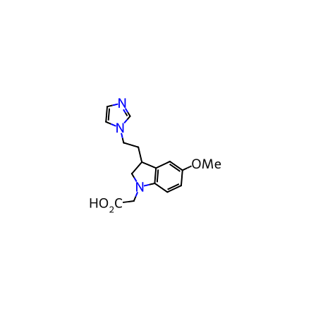 COc1ccc2c(c1)C(CCn1ccnc1)CN2CC(=O)O